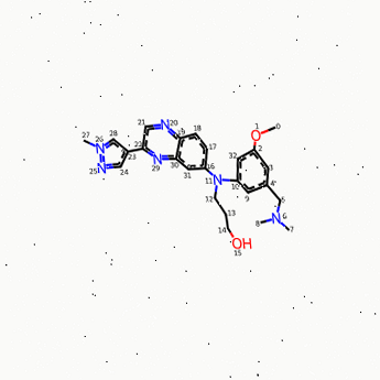 COc1cc(CN(C)C)cc(N(CCCO)c2ccc3ncc(-c4cnn(C)c4)nc3c2)c1